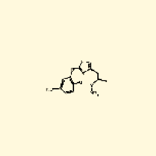 CC(Cc1nsc(Nc2cc(C(F)(F)F)ccc2Cl)n1)O[N+](=O)[O-]